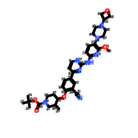 COc1nc(Nc2nccc(-c3ccc(OC4CCN(C(=O)OC(C)(C)C)CC4C)c(C#N)c3)n2)ccc1N1CCN(C2COC2)CC1